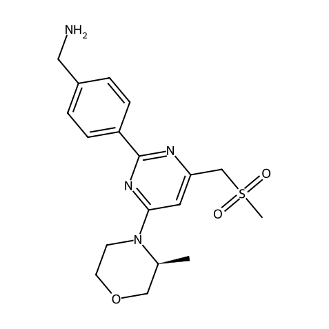 C[C@H]1COCCN1c1cc(CS(C)(=O)=O)nc(-c2ccc(CN)cc2)n1